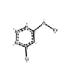 CC(C)Oc1cc(Cl)nnn1